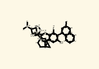 Cc1cc(-c2c(Cl)cc3c(C45CCN(C(=O)OC(C)(C)C)CC4C5)nc(N4CC(N(C)C)C4)nc3c2F)c2ccccc2c1